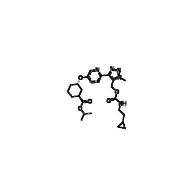 CC(C)OC(=O)[C@H]1CCC[C@H](Oc2ccc(-c3nnn(C)c3COC(=O)NCCC3CC3)nc2)C1